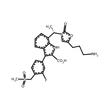 C[C@@H](c1cccc2c(-c3ccc(CS(C)(=O)=O)c(F)c3)c(C(=O)O)[nH]c12)n1cc(CCCN)oc1=O